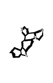 c1ccc2c(c1)sc1cc3c(cc12)c1cnccc1c1nccn31